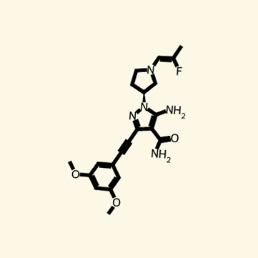 COc1cc(C#Cc2nn([C@H]3CCN(C=C(C)F)C3)c(N)c2C(N)=O)cc(OC)c1